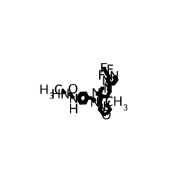 CCNC(=O)Nc1ccc(-c2nc3c(c(N4CCOC[C@@H]4C)n2)CCN(c2ccnc(C(F)(F)F)n2)C3)cc1